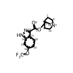 O=C(OC1CN2CCC1CC2)c1n[nH]c2cc(OC(F)(F)F)ccc12